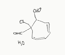 O.O=CC1C=CC=CC1(Cl)C=O